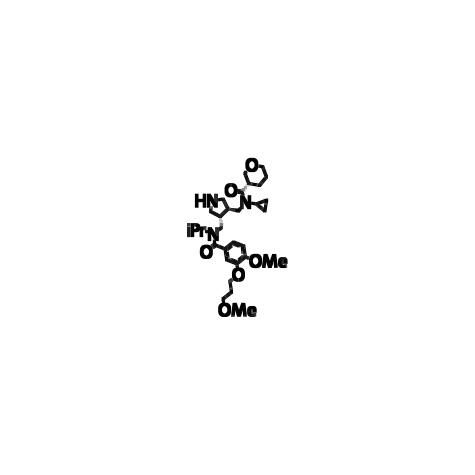 COCCCOc1cc(C(=O)N(C[C@@H]2CNC[C@H]2CN(C(=O)[C@H]2CCCOC2)C2CC2)C(C)C)ccc1OC